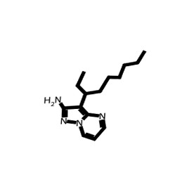 CCCCCCC(CC)c1c(N)nn2cccnc12